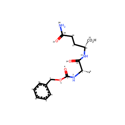 C[C@H](NC(=O)OCc1ccccc1)C(=O)N[C@H](CCC(N)=O)C(=O)O